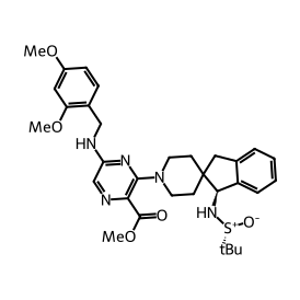 COC(=O)c1ncc(NCc2ccc(OC)cc2OC)nc1N1CCC2(CC1)Cc1ccccc1[C@H]2N[S@+]([O-])C(C)(C)C